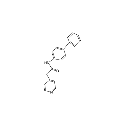 O=C(Cc1ccncc1)Nc1ccc(-c2ccccc2)cc1